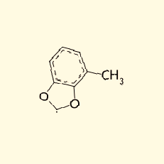 Cc1cccc2c1O[CH]O2